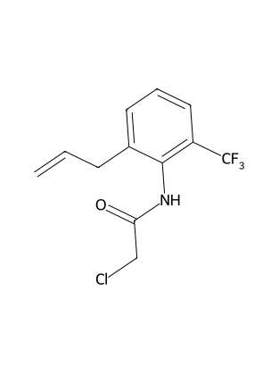 C=CCc1cccc(C(F)(F)F)c1NC(=O)CCl